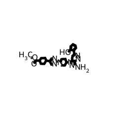 CCOC(=O)C1CCC(c2cnc(N3CCC(n4nc(N)c5nnc(-c6ccccc6O)cc54)CC3)nc2)CC1